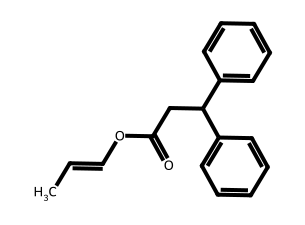 CC=COC(=O)CC(c1ccccc1)c1ccccc1